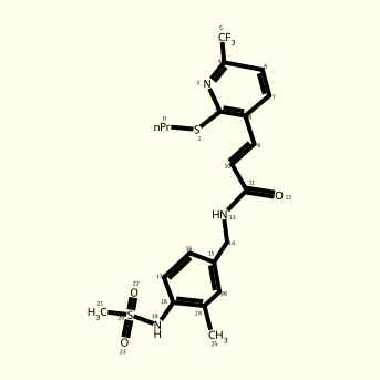 CCCSc1nc(C(F)(F)F)ccc1/C=C/C(=O)NCc1ccc(NS(C)(=O)=O)c(C)c1